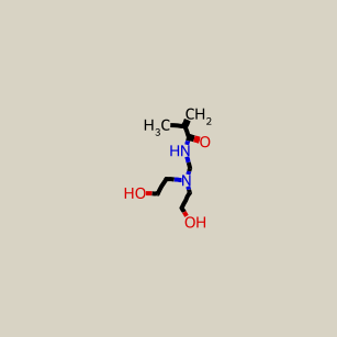 C=C(C)C(=O)NCN(CCO)CCO